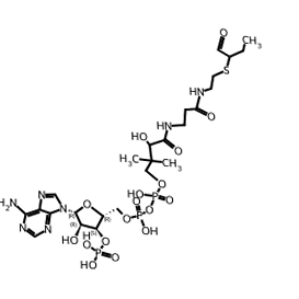 CCC(C=O)SCCNC(=O)CCNC(=O)C(O)C(C)(C)COP(=O)(O)OP(=O)(O)OC[C@H]1O[C@@H](n2cnc3c(N)ncnc32)[C@H](O)[C@@H]1OP(=O)(O)O